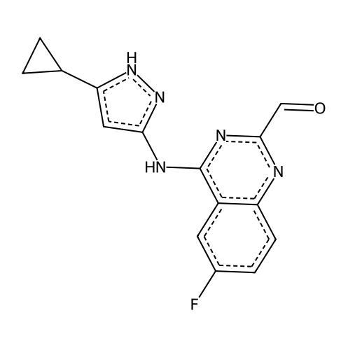 O=Cc1nc(Nc2cc(C3CC3)[nH]n2)c2cc(F)ccc2n1